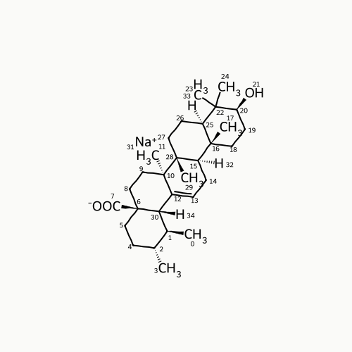 C[C@H]1[C@H](C)CC[C@]2(C(=O)[O-])CC[C@]3(C)C(=CC[C@@H]4[C@@]5(C)CC[C@H](O)C(C)(C)[C@@H]5CC[C@]43C)[C@H]12.[Na+]